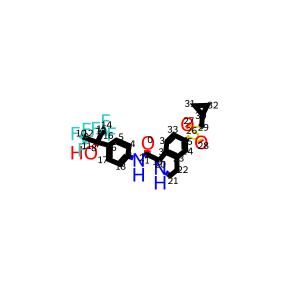 O=C(Nc1ccc(C(O)(C(F)(F)F)C(F)(F)F)cc1)C1NCCc2cc(S(=O)(=O)CC3CC3)ccc21